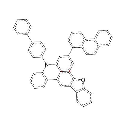 c1ccc(-c2ccc(N(c3cccc(-c4cccc5c4ccc4ccccc45)c3)c3ccccc3-c3ccc4oc5ccccc5c4c3)cc2)cc1